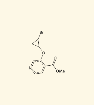 COC(=O)c1ccncc1OC1CC1Br